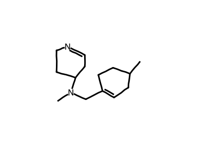 CC1CC=C(CN(C)C2CC=NCC2)CC1